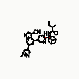 C=CC(C)C(=O)NC1(C)CC2CC(C1)C2Nc1ccc(-c2cc(-c3cnn(C)c3)cn3ncc(C#N)c23)cn1